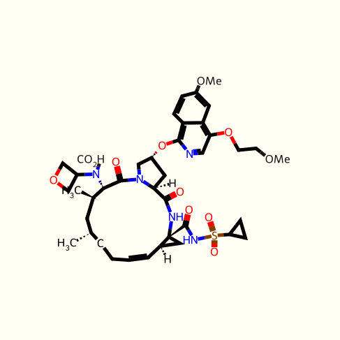 COCCOc1cnc(O[C@@H]2C[C@H]3C(=O)N[C@]4(C(=O)NS(=O)(=O)C5CC5)C[C@H]4C=CCC[C@H](C)C[C@@H](C)[C@H](N(C(=O)O)C4COC4)C(=O)N3C2)c2ccc(OC)cc12